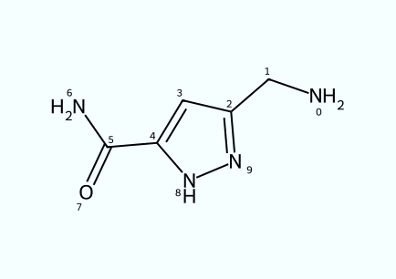 NCc1cc(C(N)=O)[nH]n1